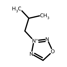 CC(C)C[n+]1ncon1